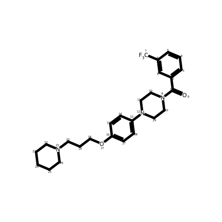 O=C(c1cccc(C(F)(F)F)c1)N1CCN(c2ccc(OCCCN3CCCCC3)cc2)CC1